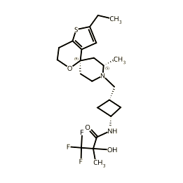 CCc1cc2c(s1)CCO[C@@]21CCN(C[C@H]2C[C@@H](NC(=O)C(C)(O)C(F)(F)F)C2)[C@@H](C)C1